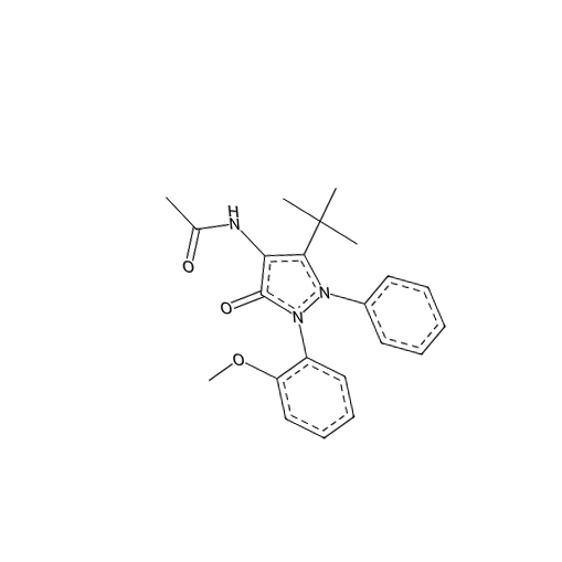 COc1ccccc1-n1c(=O)c(NC(C)=O)c(C(C)(C)C)n1-c1ccccc1